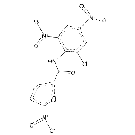 O=C(Nc1c(Cl)cc([N+](=O)[O-])cc1[N+](=O)[O-])c1ccc([N+](=O)[O-])o1